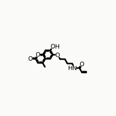 C=CC(=O)NCCCCOc1cc2c(C)cc(=O)oc2cc1O